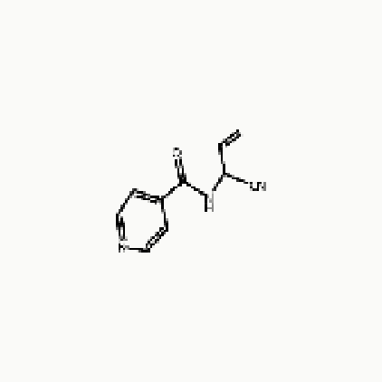 C=CC(C#N)NC(=O)c1ccncc1